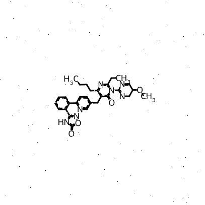 CCCCc1nc(CC)n(C2=NCC(OC)C=N2)c(=O)c1Cc1ccc(-c2ccccc2-c2noc(=O)[nH]2)nc1